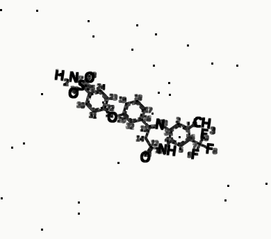 Cc1cc2c(cc1C(F)(F)F)NC(=O)CC(c1cccc(Oc3ccc(S(N)(=O)=O)cc3)c1)=N2